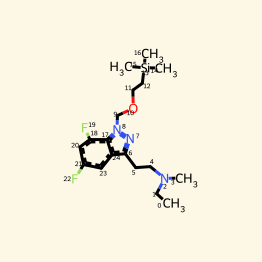 CCN(C)CCc1nn(COCC[Si](C)(C)C)c2c(F)cc(F)cc12